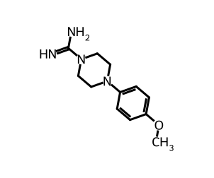 COc1ccc(N2CCN(C(=N)N)CC2)cc1